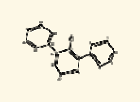 Clc1c(-c2ccccc2)cncc1-c1ccccc1